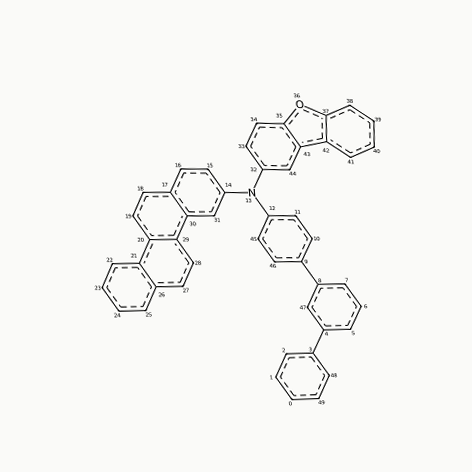 c1ccc(-c2cccc(-c3ccc(N(c4ccc5ccc6c7ccccc7ccc6c5c4)c4ccc5oc6ccccc6c5c4)cc3)c2)cc1